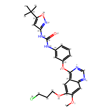 COc1cc2ncnc(Oc3cccc(NC(=O)Nc4cc(C(C)(C)C)on4)c3)c2cc1OCCCCl